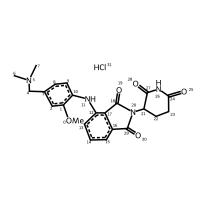 COc1cc(CN(C)C)ccc1Nc1cccc2c1C(=O)N(C1CCC(=O)NC1=O)C2=O.Cl